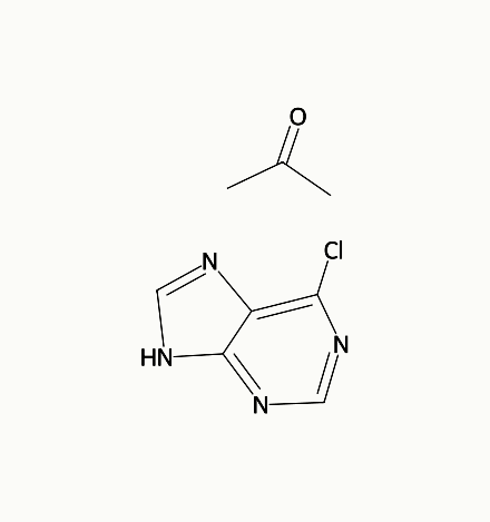 CC(C)=O.Clc1ncnc2[nH]cnc12